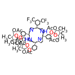 CC(=O)OCC1O[C@@H](Oc2cccc(-c3c4nc(c(-c5cccc(O[C@@H]6OC(COC(C)=O)[C@H](C)[C@H](C)C6OC(C)=O)c5)c5ccc([nH]5)c(-c5cc(C(F)(F)F)cc(C(F)(F)F)c5)c5nc(c(-c6cccc(O[C@@H]7OC(COC(C)=O)[C@H](C)[C@H](C)C7OC(C)=O)c6)c6ccc3[nH]6)C=C5)C=C4)c2)C(OC(C)=O)[C@@H](C)[C@H]1C